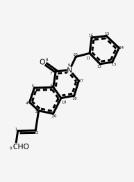 O=CC=Cc1ccc2c(=O)n(Cc3ccccc3)ccc2c1